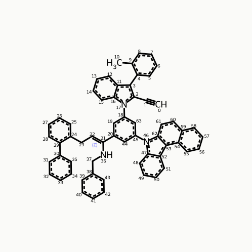 C#Cc1c(-c2ccccc2C)c2ccccc2n1-c1cc(/C(=C/Cc2ccccc2-c2ccccc2)NCc2ccccc2)cc(-n2c3ccccc3c3c4ccccc4ccc32)c1